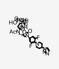 CC(=O)N(C[C@H]1CN(c2cc(F)c(N3CCC(n4ccnn4)CC3)c(F)c2)C(=O)O1)C(=O)CC(P(=O)(O)O)P(=O)(O)O